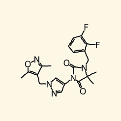 Cc1noc(C)c1Cn1cc(N2C(=O)N(Cc3cccc(F)c3F)C(C)(C)C2=O)cn1